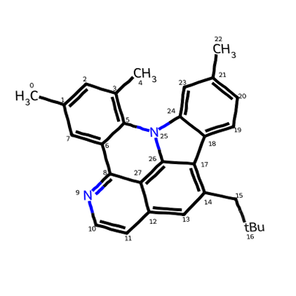 Cc1cc(C)c2c(c1)c1nccc3cc(CC(C)(C)C)c4c5ccc(C)cc5n2c4c31